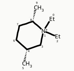 CC[N+]1(CC)C[C@H](C)CC[C@@H]1C